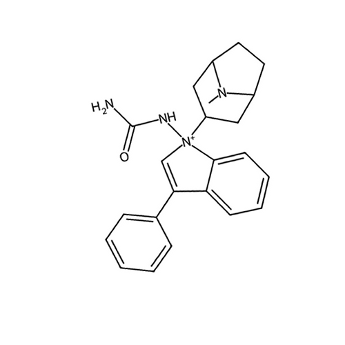 CN1C2CCC1CC([N+]1(NC(N)=O)C=C(c3ccccc3)c3ccccc31)C2